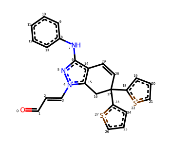 O=CC=Cn1nc(Nc2ccccc2)c2c1CC(c1cccs1)(c1cccs1)C=C2